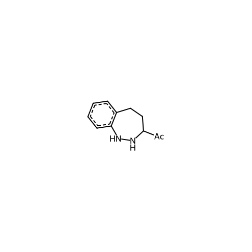 CC(=O)C1CCc2ccccc2NN1